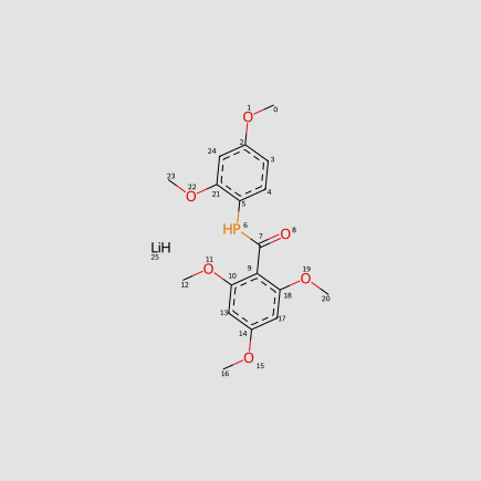 COc1ccc(PC(=O)c2c(OC)cc(OC)cc2OC)c(OC)c1.[LiH]